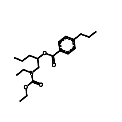 CCCc1ccc(C(=O)OC(CCC)CN(CC)C(=O)OCC)cc1